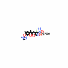 CNS(=O)(=O)Nc1nccc(Cc2c(C)c3cc(C)c(Oc4nccn4C)cc3oc2=O)c1F